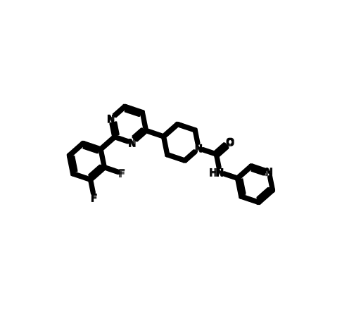 O=C(Nc1cccnc1)N1CCC(c2ccnc(-c3cccc(F)c3F)n2)CC1